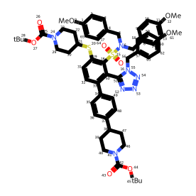 COc1ccc(CN(Cc2ccc(OC)cc2)S(=O)(=O)c2c(SC3CCN(C(=O)OC(C)(C)C)CC3)ccc(-c3ccc(C4CCN(C(=O)OC(C)(C)C)CC4)cc3)c2-c2nnnn2Cc2ccc(OC)cc2)cc1